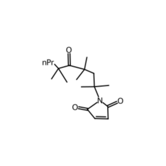 CCCC(C)(C)C(=O)C(C)(C)CC(C)(C)N1C(=O)C=CC1=O